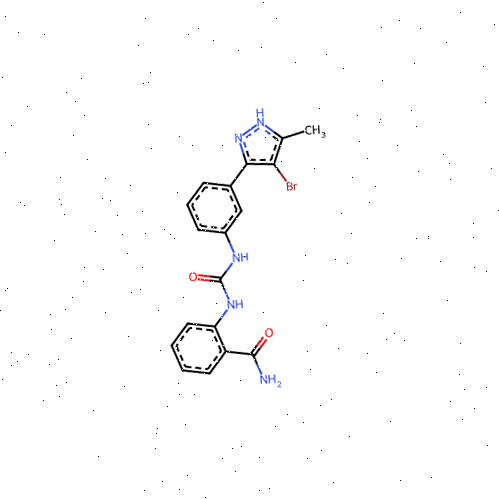 Cc1[nH]nc(-c2cccc(NC(=O)Nc3ccccc3C(N)=O)c2)c1Br